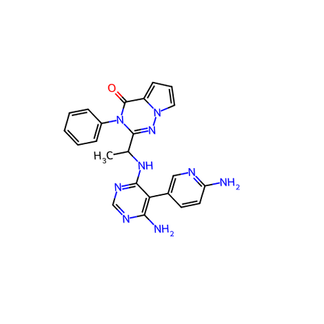 CC(Nc1ncnc(N)c1-c1ccc(N)nc1)c1nn2cccc2c(=O)n1-c1ccccc1